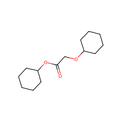 O=C(COC1CCCCC1)OC1CCCCC1